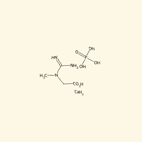 CN(CC(=O)O)C(=N)N.O=P(O)(O)O.[CaH2]